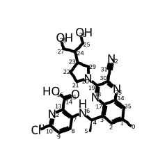 Cc1cc([C@@H](C)Nc2ccc(Cl)nc2C(=O)O)c2nc(N3CCC(C(CO)CO)C3)c(C#N)nc2c1